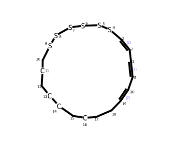 C1=C\C=C/SSSSSSCCCCCCCCC\C=C/1